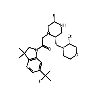 CC[C@@H]1COCCN1C[C@H]1CN[C@H](C)CN1CC(=O)N1CC(C)(C)c2ncc(C(C)(F)F)cc21